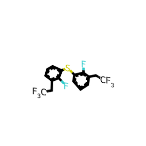 Fc1c(CC(F)(F)F)cccc1Sc1cccc(CC(F)(F)F)c1F